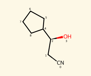 N#CC[C@H](O)C1CCCC1